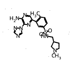 Cc1ccc(S(=O)(=O)NCC2CCN(C)C2)cc1-c1cnc(N)c(-n2cncn2)n1